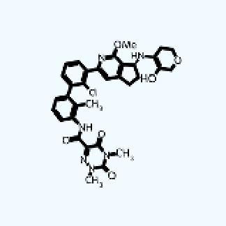 COc1nc(-c2cccc(-c3cccc(NC(=O)c4nn(C)c(=O)n(C)c4=O)c3C)c2Cl)cc2c1[C@@H](NC1=C(O)COCC1)CC2